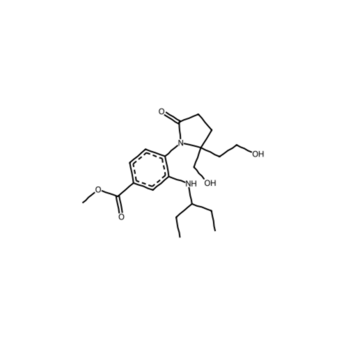 CCC(CC)Nc1cc(C(=O)OC)ccc1N1C(=O)CCC1(CO)CCO